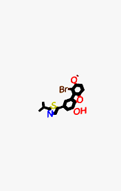 COc1ccc2oc3c(O)cc(-c4cnc(C(C)C)s4)cc3c2c1Br